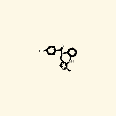 Cn1ncc2c1Nc1ccccc1N(C(=O)c1ccc(O)cc1)C2